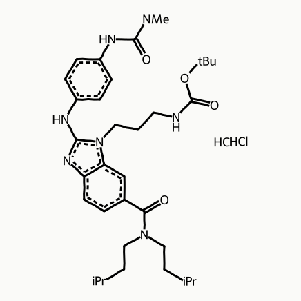 CNC(=O)Nc1ccc(Nc2nc3ccc(C(=O)N(CCC(C)C)CCC(C)C)cc3n2CCCNC(=O)OC(C)(C)C)cc1.Cl.Cl